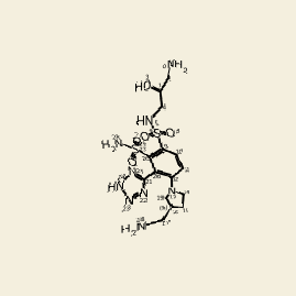 NCC(O)CNS(=O)(=O)c1ccc(N2CC[C@@H](CN)C2)c(-c2nn[nH]n2)c1S(N)(=O)=O